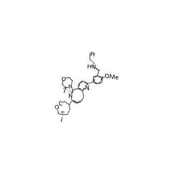 COc1ccc(-c2ccc3c(n2)CC=C=C(C2CCOC[C@H](C)CC2)/N=C\3N2CCOC[C@@H]2C)cc1CNCCC(C)C